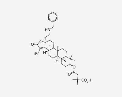 CC(C)C1=C2[C@H]3CC[C@@H]4[C@@]5(C)CC[C@H](OC(=O)CC(C)(C)C(=O)O)C(C)(C)C5CC[C@@]4(C)[C@]3(C)CC[C@@]2(CCNCc2ccccc2)CC1=O